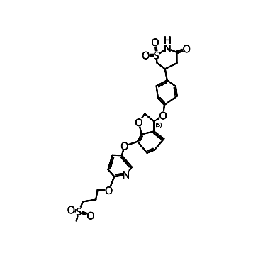 CS(=O)(=O)CCCOc1ccc(Oc2cccc3c2OC[C@H]3Oc2ccc(C3CC(=O)NS(=O)(=O)C3)cc2)cn1